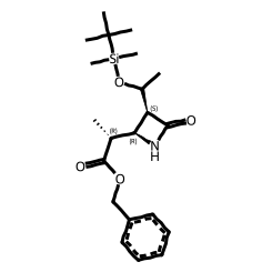 CC(O[Si](C)(C)C(C)(C)C)[C@H]1C(=O)N[C@H]1[C@@H](C)C(=O)OCc1ccccc1